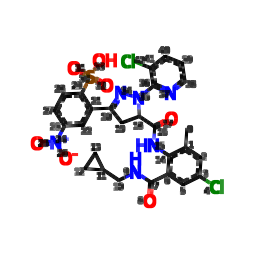 Cc1cc(Cl)cc(C(=O)NCC2CC2)c1NC(=O)C1CC(c2cc([N+](=O)[O-])ccc2S(=O)(=O)O)=NN1c1ncccc1Cl